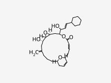 C=C1CCC[C@@H]2CC=C[C@@H](C/C=C\C(=O)OC([C@@H](O)/C=C/C3CCCCC3)C[C@@H]3O[C@H]3[C@@H](O)C1)O2